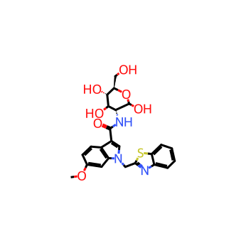 COc1ccc2c(C(=O)N[C@H]3C(O)O[C@H](CO)[C@@H](O)C3O)cn(Cc3nc4ccccc4s3)c2c1